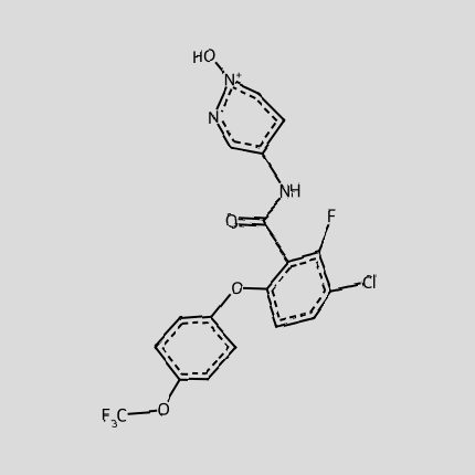 O=C(Nc1cc[n+](O)nc1)c1c(Oc2ccc(OC(F)(F)F)cc2)ccc(Cl)c1F